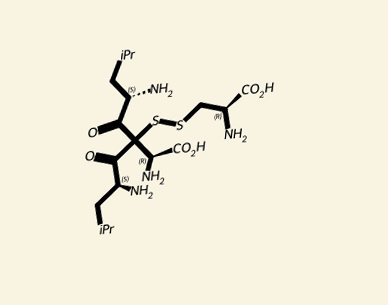 CC(C)C[C@H](N)C(=O)C(SSC[C@H](N)C(=O)O)(C(=O)[C@@H](N)CC(C)C)[C@H](N)C(=O)O